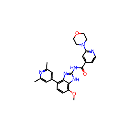 COc1ccc(-c2cc(C)nc(C)c2)c2nc(NC(=O)c3ccnc(N4CCOCC4)c3)[nH]c12